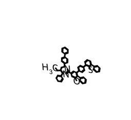 CCC1=C(C2=CCCC=C2)N=C(c2cc(-c3ccc(-c4cccc5c4sc4ccccc45)cc3)c3c(c2)oc2ccccc23)N=C(c2ccc(-c3ccccc3)cc2)C1